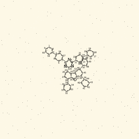 c1ccc(-c2ccc(-c3nc(-c4ccc(-c5ccccc5)cc4)nc(-c4ccc(-c5ccccc5)c5oc6c(-c7ccccc7)cc(-c7ccccc7)cc6c45)n3)cc2)cc1